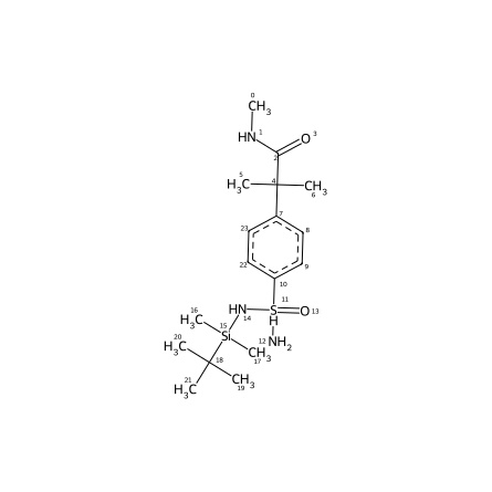 CNC(=O)C(C)(C)c1ccc([SH](N)(=O)N[Si](C)(C)C(C)(C)C)cc1